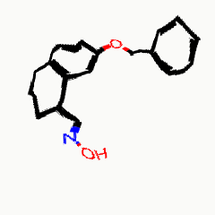 ON=CC1CCCc2ccc(OCc3ccccc3)cc21